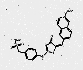 CNS(=O)(=O)Cc1ccc(NC2=NC(=O)C(=Cc3ccc4cc(OC)ccc4c3)S2)cc1